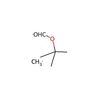 CC(C)(C)O[C]=O.[CH3]